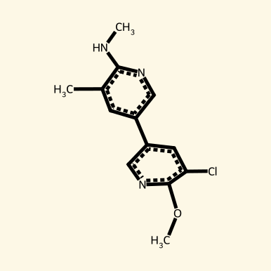 CNc1ncc(-c2cnc(OC)c(Cl)c2)cc1C